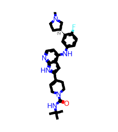 CN1CC[C@@H](c2cc(Nc3ccnc4[nH]c(C5=CCN(C(=O)NC(C)(C)C)CC5)cc34)ccc2F)C1